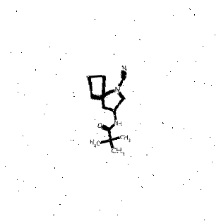 CC(C)(C)C(=O)NC1CN(C#N)C2(CCC2)C1